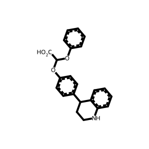 O=C(O)C(Oc1ccccc1)Oc1ccc(C2CCNc3ccccc32)cc1